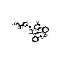 O=C(NOCc1cc(C(O)CO)cs1)[C@@H]1c2ccccc2C(=O)N([C@H]2CCCC[C@@H]2O)[C@H]1c1ccc(Cl)cc1Cl